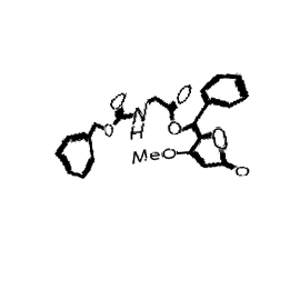 COC1=CC(=O)OC1C(OC(=O)CNC(=O)OCc1ccccc1)c1ccccc1